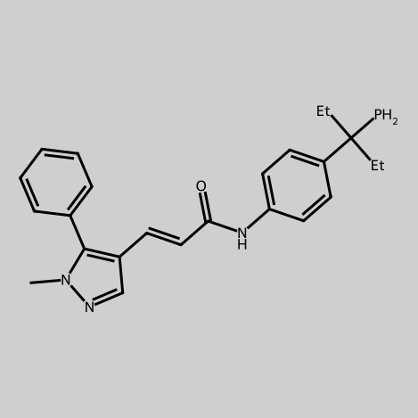 CCC(P)(CC)c1ccc(NC(=O)/C=C/c2cnn(C)c2-c2ccccc2)cc1